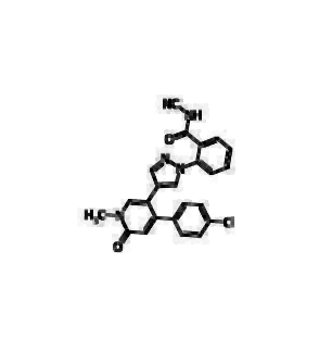 Cn1cc(-c2cnn(-c3ccccc3C(=O)NC#N)c2)c(-c2ccc(Cl)cc2)cc1=O